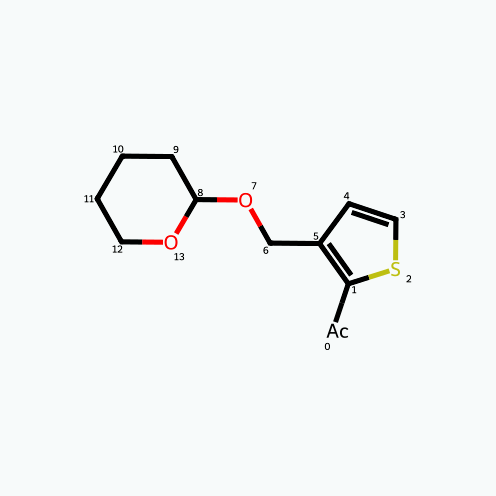 CC(=O)c1sccc1COC1CCCCO1